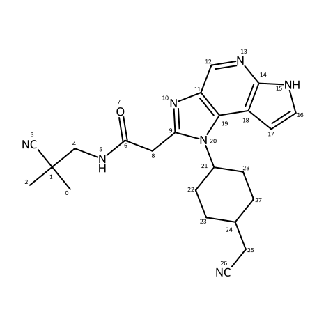 CC(C)(C#N)CNC(=O)Cc1nc2cnc3[nH]ccc3c2n1C1CCC(CC#N)CC1